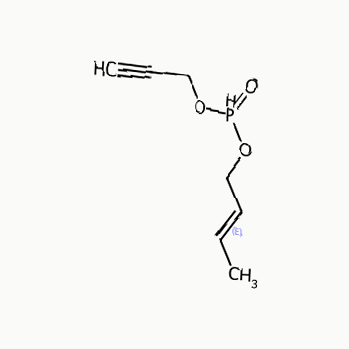 C#CCO[PH](=O)OC/C=C/C